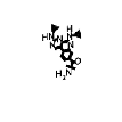 CC(C)(N)C(=O)c1ccc2c(c1)nc(NC1CC1)c1nc(NC3CC3)ncc12